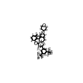 Cc1ccccc1C1[C@@H]2CN(C3CCOCC3)CC2CCN1C(=O)N(C)C(C)c1cc(C(F)(F)F)cc(C(F)(F)F)c1